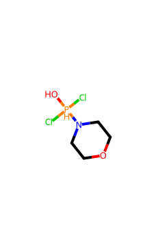 O[PH](Cl)(Cl)N1CCOCC1